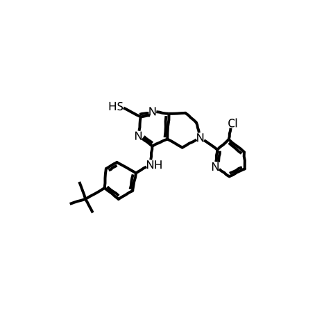 CC(C)(C)c1ccc(Nc2nc(S)nc3c2CN(c2ncccc2Cl)CC3)cc1